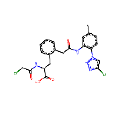 Cc1ccc(-n2cc(Cl)nn2)c(NC(=O)Cc2ccccc2C[C@H](NC(=O)CCl)C(=O)O)c1